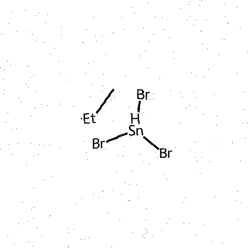 C[CH]C.[Br][SnH]([Br])[Br]